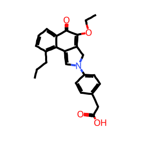 CCCc1cccc2c1C1=CN(c3ccc(CC(=O)O)cc3)CC1=C(OCC)C2=O